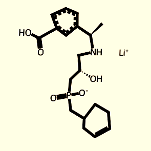 C[C@@H](NC[C@H](O)CP(=O)([O-])CC1CC=CCC1)c1cccc(C(=O)O)c1.[Li+]